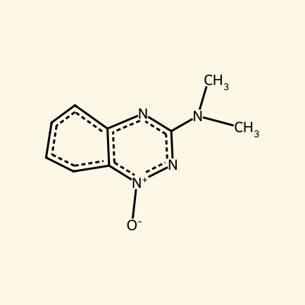 CN(C)c1nc2ccccc2[n+]([O-])n1